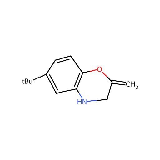 C=C1CNc2cc(C(C)(C)C)ccc2O1